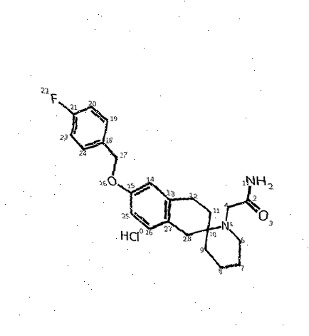 Cl.NC(=O)CN1CCCCC12CCc1cc(OCc3ccc(F)cc3)ccc1C2